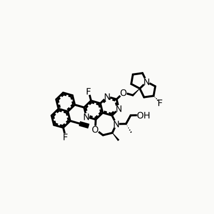 C#Cc1c(F)ccc2cccc(-c3nc4c5c(nc(OC[C@@]67CCCN6C[C@H](F)C7)nc5c3F)N([C@@H](C)CO)[C@@H](C)CO4)c12